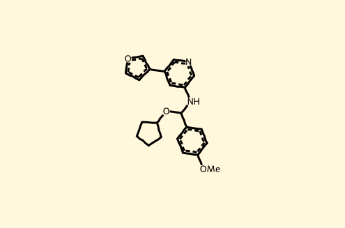 COc1ccc(C(Nc2cncc(-c3ccoc3)c2)OC2CCCC2)cc1